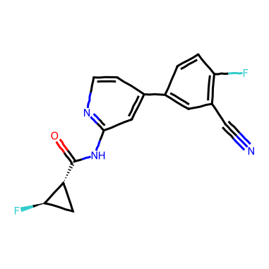 N#Cc1cc(-c2ccnc(NC(=O)[C@@H]3C[C@H]3F)c2)ccc1F